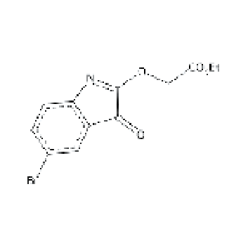 CCOC(=O)COC1=Nc2ccc(Br)cc2C1=O